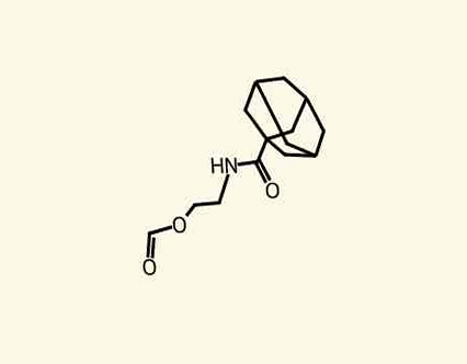 O=COCCNC(=O)C12CC3CC(CC(C3)C1)C2